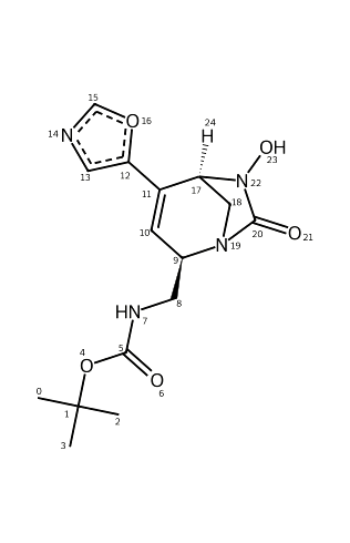 CC(C)(C)OC(=O)NC[C@H]1C=C(c2cnco2)[C@@H]2CN1C(=O)N2O